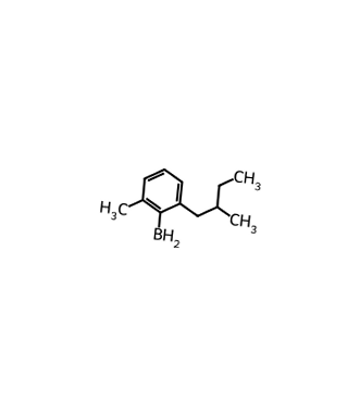 Bc1c(C)cccc1CC(C)CC